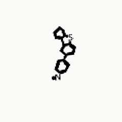 C=Nc1ccc(-c2ccc3sc4ccccc4c3c2)cc1